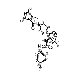 Cc1nc(C)n2c1CN(N1CCN(C(=O)[C@H](NC(=O)Nc3ccc(Cl)cc3)C(C)(C)C)CC1)C2=O